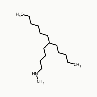 CCCCCCC(CCCCC)CCCCNC